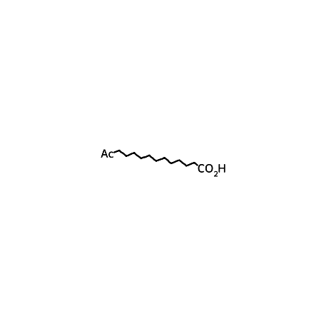 CC(=O)CCCCCCCCCCCC(=O)O